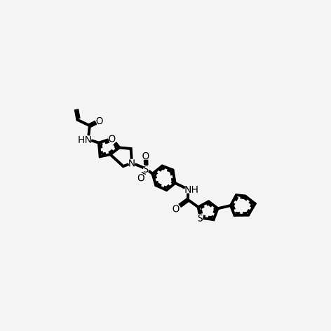 C=CC(=O)Nc1cc2c(o1)CN(S(=O)(=O)c1ccc(NC(=O)c3cc(-c4ccccc4)cs3)cc1)C2